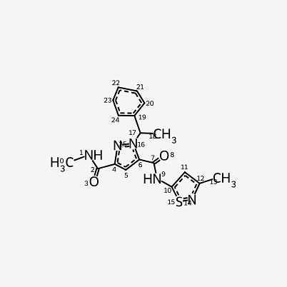 CNC(=O)c1cc(C(=O)Nc2cc(C)ns2)n(C(C)c2ccccc2)n1